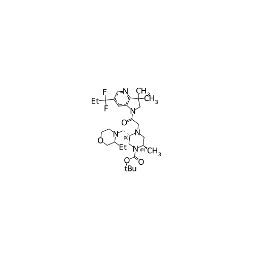 CCC1COCCN1C[C@H]1CN(C(=O)OC(C)(C)C)[C@H](C)CN1CC(=O)N1CC(C)(C)c2ncc(C(F)(F)CC)cc21